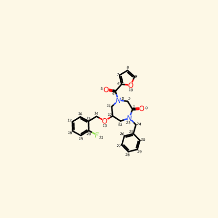 O=C1CN(C(=O)c2ccco2)CC(OCc2ccccc2F)CN1Cc1ccccc1